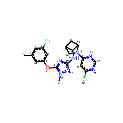 Cc1cc(F)cc(Oc2nc(NC3C4CC3N(c3cc(Cl)ncn3)C4)nn2C)c1